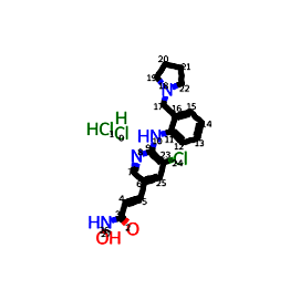 Cl.Cl.O=C(C=Cc1cnc(Nc2ccccc2CN2CCCC2)c(Cl)c1)NO